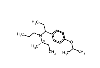 CCCN(C(CC)c1ccc(OC(C)C)cc1)[C@@H](C)CC